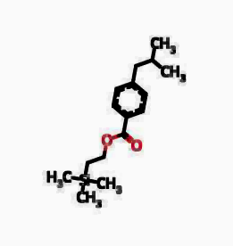 CC(C)Cc1ccc(C(=O)OCC[Si](C)(C)C)cc1